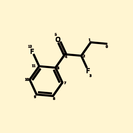 CCC(F)C(=O)c1ccccc1F